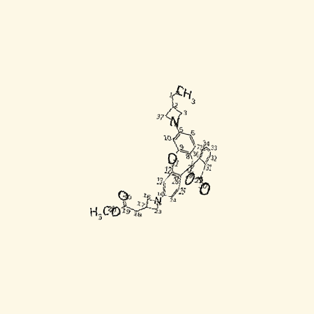 CCC1CN(c2ccc3c(c2)Oc2cc(N4CC(CC(=O)OC)C4)ccc2C32OC(=O)c3ccccc32)C1